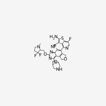 CN1CCC(F)(F)C1COc1nc(N2C3CCC2CNC3)c2c3c(c(-c4ncc(F)c5sc(N)c(C#N)c45)c(F)c2n1)COC3